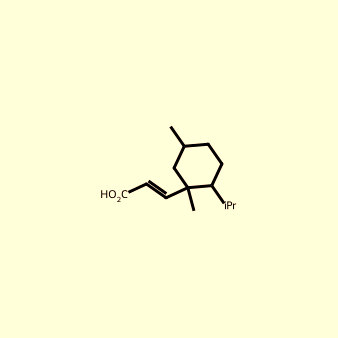 CC1CCC(C(C)C)C(C)(C=CC(=O)O)C1